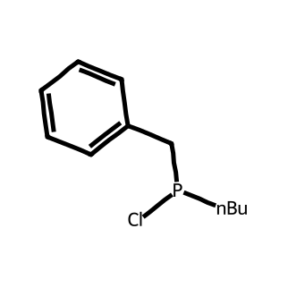 CCCCP(Cl)Cc1ccccc1